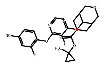 CC1(OC(=O)N2CC3COCC(C2)C3Oc2ncnc(Oc3ccc(C#N)cc3F)c2F)CC1